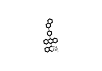 C/C=c1/cccc/c1=C(/C)c1c2ccccc2c(-c2ccc(-c3ccc4ccccc4c3)cc2)c2ccccc12